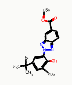 CCCCOC(=O)c1ccc2nn(-c3cc(C(C)(C)CC)cc(CCCC)c3O)nc2c1